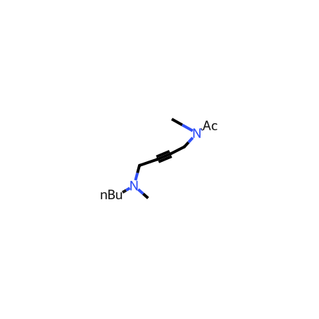 CCCCN(C)CC#CCN(C)C(C)=O